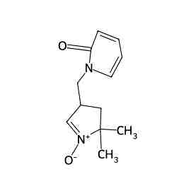 CC1(C)CC(Cn2ccccc2=O)C=[N+]1[O-]